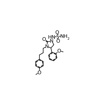 COc1ccc(CCCN2C(=O)N(NS(N)(=O)=O)CC2c2ccccc2OC)cc1